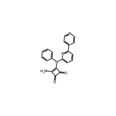 Nc1c(N(c2ccccc2)c2cccc(-c3ccncc3)n2)c(=O)c1=O